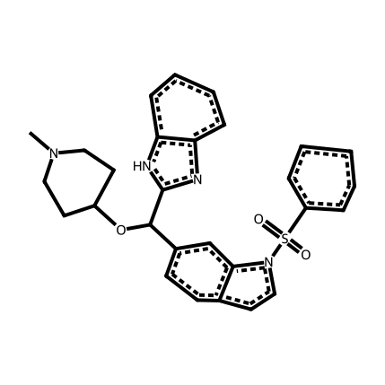 CN1CCC(OC(c2ccc3ccn(S(=O)(=O)c4ccccc4)c3c2)c2nc3ccccc3[nH]2)CC1